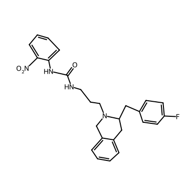 O=C(NCCCN1Cc2ccccc2CC1Cc1ccc(F)cc1)Nc1ccccc1[N+](=O)[O-]